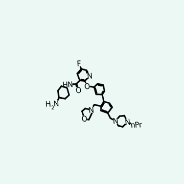 CCCN1CCN(Cc2ccc(-c3cccc(Oc4ncc(F)cc4C(=O)NC4CCC(N)CC4)c3)c(CN3CCOCC3)c2)CC1